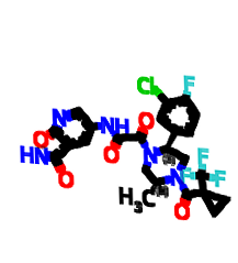 C[C@@H]1CN(C(=O)C(=O)Nc2cnc3o[nH]c(=O)c3c2)[C@@H](c2ccc(F)c(Cl)c2)CN1C(=O)C1(C(F)(F)F)CC1